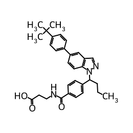 CCCC(c1ccc(C(=O)NCCC(=O)O)cc1)n1ncc2cc(-c3ccc(C(C)(C)C)cc3)ccc21